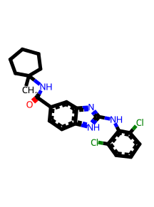 CC1(NC(=O)c2ccc3[nH]c(Nc4c(Cl)cccc4Cl)nc3c2)CCCCC1